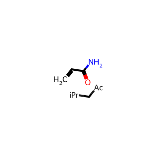 C=CC(N)=O.CC(=O)CC(C)C